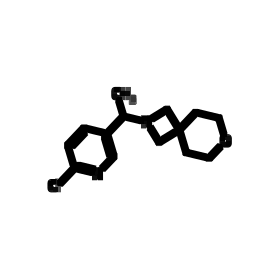 CC(c1ccc(Cl)nc1)N1CC2(CCOCC2)C1